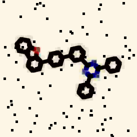 c1ccc(-c2nc(-c3ccccc3)nc(-c3cccc(-c4ccc(-c5cccc6c5oc5ccccc56)cc4)c3)n2)cc1